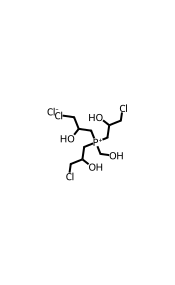 OC[P+](CC(O)CCl)(CC(O)CCl)CC(O)CCl.[Cl-]